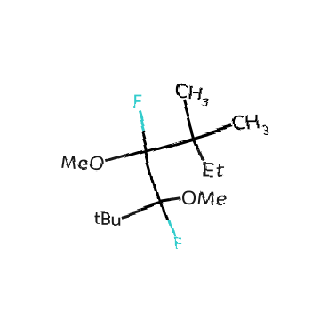 CCC(C)(C)C(F)(OC)C(F)(OC)C(C)(C)C